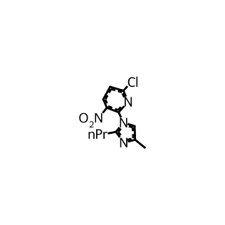 CCCc1nc(C)cn1-c1nc(Cl)ccc1[N+](=O)[O-]